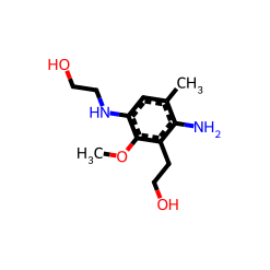 COc1c(NCCO)cc(C)c(N)c1CCO